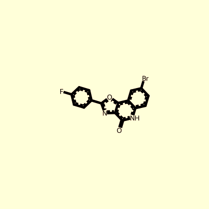 O=c1[nH]c2ccc(Br)cc2c2oc(-c3ccc(F)cc3)nc12